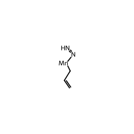 C=C[CH2][Mn][N]=N